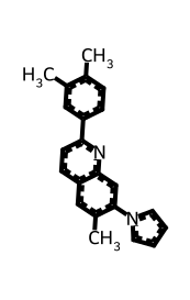 Cc1ccc(-c2ccc3cc(C)c(-n4cccc4)cc3n2)cc1C